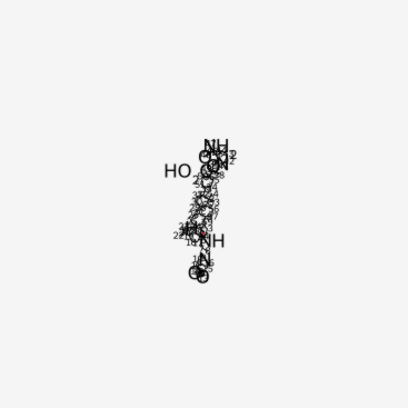 C=C[C@@]12CC[C@@]3(NCCN4CCS(=O)(=O)CC4)CC[C@@H](C(=C)C)C3[C@H]1CCC1[C@@]3(C)CC=C(C4=CC[C@](C(=C)Oc5ncccc5C(N)=O)(C(=O)O)CC4)C(C)(C)C3CC[C@]12C